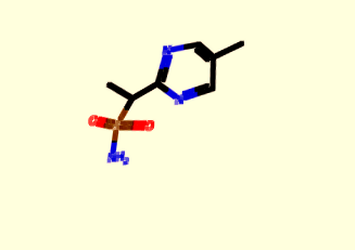 Cc1cnc(C(C)S(N)(=O)=O)nc1